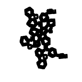 CC(C)(C)c1ccc(N(c2ccc3c(c2)C2(c4ccccc4N4c5ccccc5Oc5cccc2c54)c2cc(N(c4ccc(C(C)(C)C)cc4)c4cccc5c4oc4ccccc45)c4c(sc5ccccc54)c2-3)c2cccc3c2oc2ccccc23)cc1